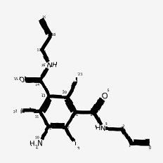 C=CCNC(=O)c1c(I)c(N)c(I)c(C(=O)NCC=C)c1I